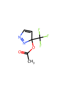 CC(=O)OC1(C(F)(F)F)C=CN=N1